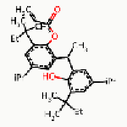 C=CC(=O)Oc1c(C(C)c2cc(C(C)C)cc(C(C)(C)CC)c2O)cc(C(C)C)cc1C(C)(C)CC